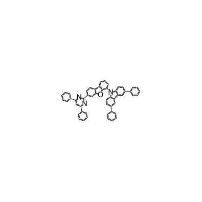 c1ccc(-c2ccc3c(c2)c2cc(-c4ccccc4)ccc2n3-c2cccc3c2oc2cc(-c4nc(-c5ccccc5)cc(-c5ccccc5)n4)ccc23)cc1